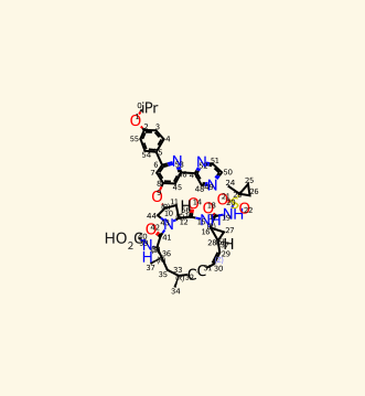 CC(C)Oc1ccc(-c2cc(O[C@@H]3C[C@H]4C(=O)N[C@]5(C(=O)NS(=O)(=O)C6(C)CC6)C[C@H]5/C=C\CC[C@@H](C)C[C@@H](C)[C@H](NC(=O)O)C(=O)N4C3)cc(-c3cnccn3)n2)cc1